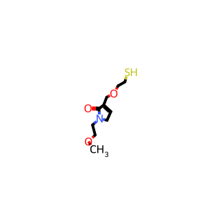 COCCN1CC=C(COCCS)C1=O